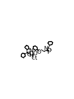 CCC(=O)Oc1c(Nc2ccccc2C(=O)c2ccccc2)cccc1OCCc1nc(-c2ccccc2)oc1C